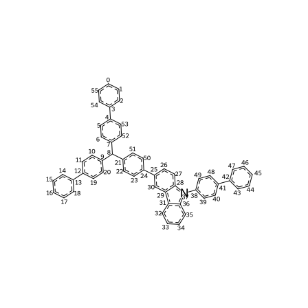 c1ccc(-c2ccc(C(c3ccc(-c4ccccc4)cc3)c3ccc(-c4ccc5c(c4)c4ccccc4n5-c4ccc(-c5ccccc5)cc4)cc3)cc2)cc1